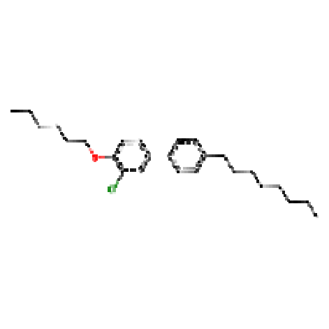 CCCCCCCCc1ccc(-c2ccc(OCCCCCC)c(Cl)c2)cc1